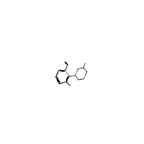 Cc1cccc(C=O)c1C1CCCC(C)C1